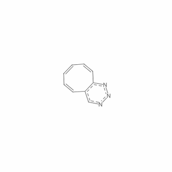 C1=CC=Cc2nnncc2C=C1